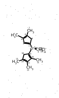 [CH2]=[Zr+2]([C]1=CC(C)=C(C)C1)[C]1=C(C)C(C)=C(C)C1.[Cl-].[Cl-]